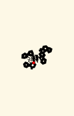 CC1CC=C(C2=NC(n3c4ccccc4c4cc5c(cc43)C(C)(C)c3ccc4ccccc4c3-5)N(C)C(c3cccc4c3sc3ccccc34)=N2)c2sc3ccccc3c21